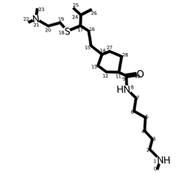 CNCCCCCCNC(=O)C1CCC(CCC(SCCN(C)C)C(C)C)CC1